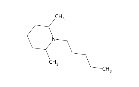 CCCCCN1C(C)CCCC1C